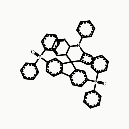 O=P(c1ccccc1)(c1ccccc1)c1ccc2c(c1)C1(c3cc(P(=O)(c4ccccc4)c4ccccc4)ccc3-2)c2ccccc2N(c2ccccc2)C2C=CC=CC21